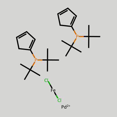 CC(C)(C)P(C1=CC=CC1)C(C)(C)C.CC(C)(C)P(C1=CC=CC1)C(C)(C)C.[Cl][Fe][Cl].[Pd+2]